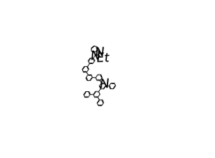 CCc1nc2ccccc2n1-c1ccc(-c2cccc(-c3cccc(C4C=C(c5cc(C6C=C(c7ccccc7)C=C(c7ccccc7)C6)cc(-c6ccccc6)n5)C=CC4)c3)c2)cc1